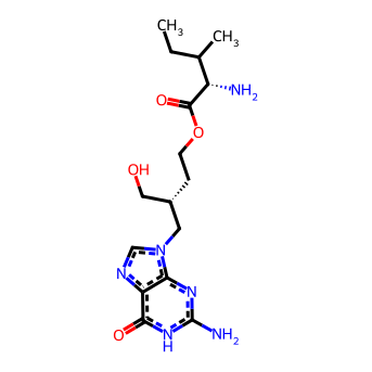 CCC(C)[C@H](N)C(=O)OCC[C@@H](CO)Cn1cnc2c(=O)[nH]c(N)nc21